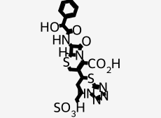 O=C(O)C1=C(C(CCCS(=O)(=O)O)Sc2nnn[nH]2)CS[C@H]2C(NC(=O)C(O)c3ccccc3)C(=O)N12